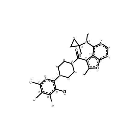 Cc1oc2ncnc(N(C)C3(C)CC3)c2c1C(=O)N1CCN(c2nc(Cl)c(I)c(I)c2Cl)CC1